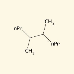 CC[CH]C(C)C(C)CCC